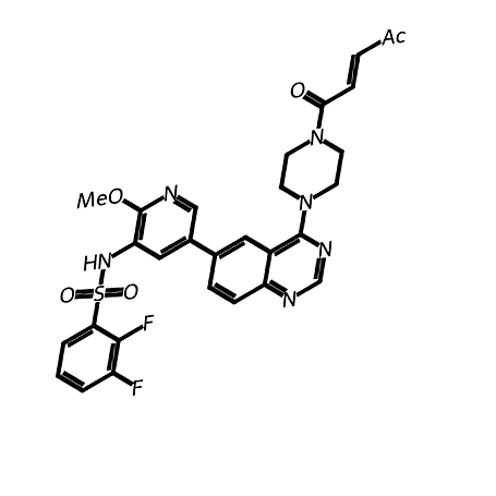 COc1ncc(-c2ccc3ncnc(N4CCN(C(=O)/C=C/C(C)=O)CC4)c3c2)cc1NS(=O)(=O)c1cccc(F)c1F